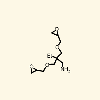 CCC(CN)(COCC1CO1)COCC1CO1